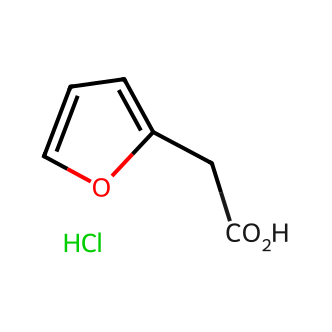 Cl.O=C(O)Cc1ccco1